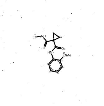 CCNC(=O)C1(C(=O)Nc2ccccc2OC)CC1